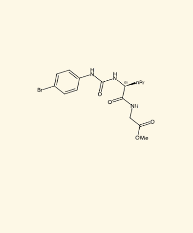 CCC[C@H](NC(=O)Nc1ccc(Br)cc1)C(=O)NCC(=O)OC